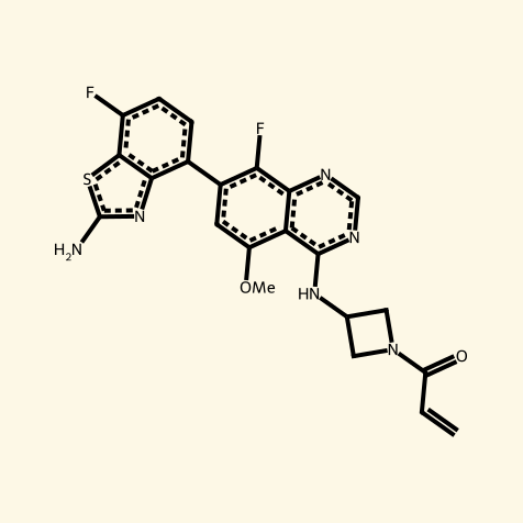 C=CC(=O)N1CC(Nc2ncnc3c(F)c(-c4ccc(F)c5sc(N)nc45)cc(OC)c23)C1